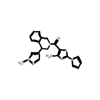 Cc1nc(-n2cccc2)sc1C(=O)N1Cc2ccccc2C(c2cnn(C)c2)C1